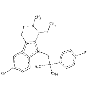 CCC1c2c(c3cc(Cl)ccc3n2CC(C)(O)c2ccc(F)cc2)CCN1C